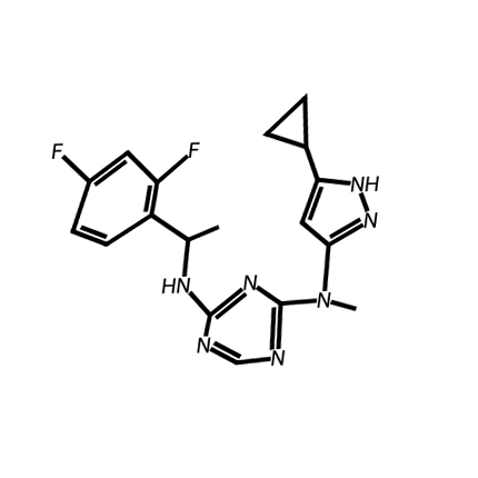 CC(Nc1ncnc(N(C)c2cc(C3CC3)[nH]n2)n1)c1ccc(F)cc1F